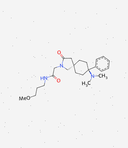 COCCCNC(=O)CN1C[C@]2(CC[C@](c3ccccc3)(N(C)C)CC2)CC1=O